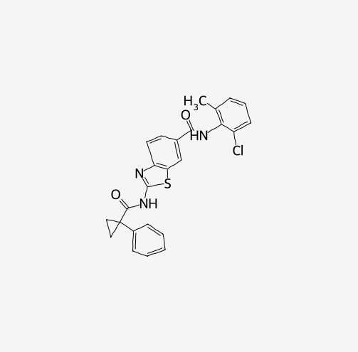 Cc1cccc(Cl)c1NC(=O)c1ccc2nc(NC(=O)C3(c4ccccc4)CC3)sc2c1